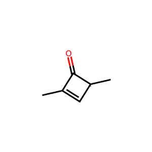 C[C]1C=C(C)C1=O